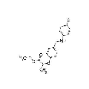 CCOC(=O)C(C)Oc1ccc(CNc2ccc(Cl)cc2)cc1